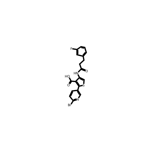 O=C(CCc1cccc(F)c1)Nc1csc(-c2ccc(Br)nc2)c1C(=O)O